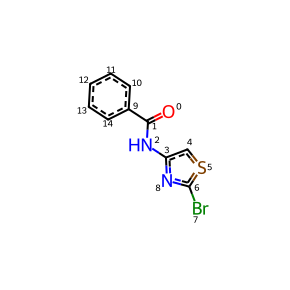 O=C(Nc1csc(Br)n1)c1ccccc1